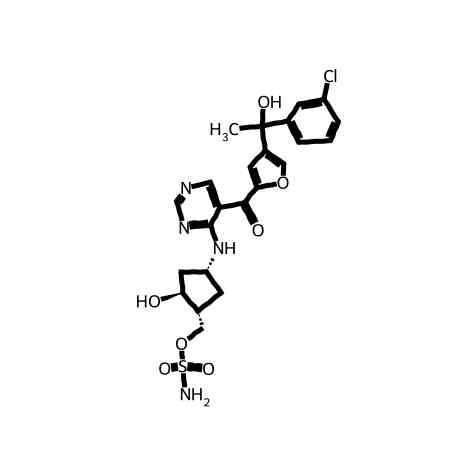 CC(O)(c1cccc(Cl)c1)c1coc(C(=O)c2cncnc2N[C@@H]2C[C@H](COS(N)(=O)=O)[C@@H](O)C2)c1